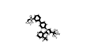 CCS(=O)(=O)c1cccc(-c2ccc(-n3cc(C(C)(C)O)nc3-c3cnccc3C(F)(F)F)cc2)c1